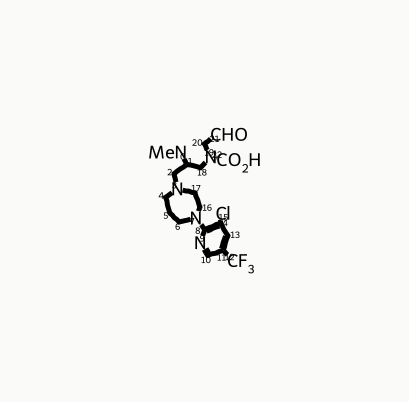 CNC(CN1CCCN(c2ncc(C(F)(F)F)cc2Cl)CC1)CN(CC=O)C(=O)O